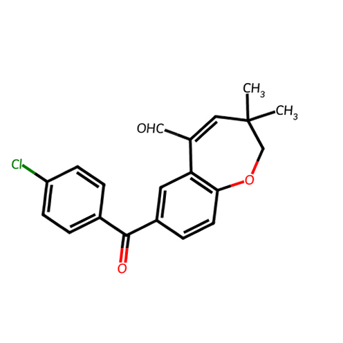 CC1(C)C=C(C=O)c2cc(C(=O)c3ccc(Cl)cc3)ccc2OC1